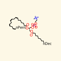 CCCCC/C=C\C/C=C\C/C=C\C/C=C\CCCCCC(=O)O[C@H](COC(=O)CCCCCCCCCCCCCCCCC)COP(=O)([O-])OCC[N+](C)(C)C